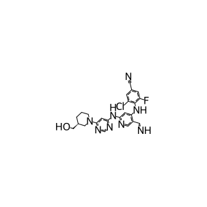 N#Cc1cc(F)c(Nc2cc(Nc3cc(N4CCC[C@H](CO)C4)ncn3)ncc2C=N)c(Cl)c1